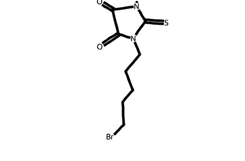 CN1C(=O)C(=O)N(CCCCCBr)C1=S